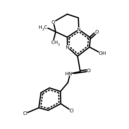 CC1(C)OCCn2c1nc(C(=O)NCc1ccc(Cl)cc1Cl)c(O)c2=O